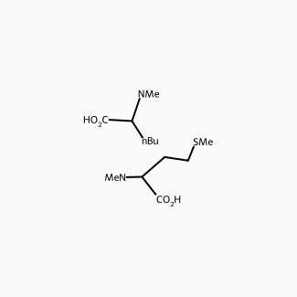 CCCCC(NC)C(=O)O.CNC(CCSC)C(=O)O